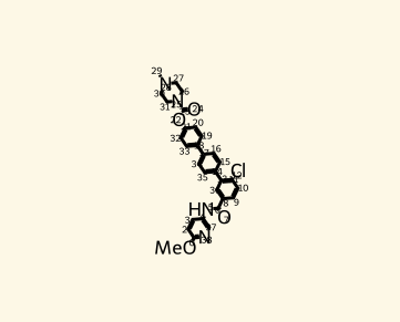 COc1ccc(NC(=O)c2ccc(Cl)c(-c3ccc(-c4ccc(OC(=O)N5CCN(C)CC5)cc4)cc3)c2)cn1